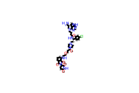 NCCCN(CCCC(=O)N[C@@H](CCN1CCN(C(=O)CCOCCNc2cccc3c2C(=O)N(C2CCC(=O)NC2=O)C3=O)CC1)c1ccc(Cl)cc1)c1ncnc2[nH]ccc12